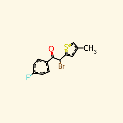 Cc1csc(C(Br)C(=O)c2ccc(F)cc2)c1